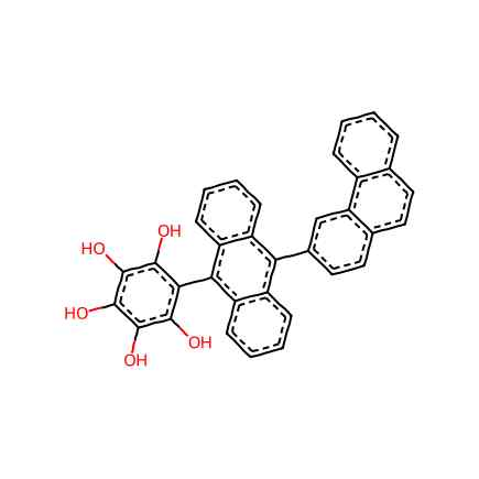 Oc1c(O)c(O)c(-c2c3ccccc3c(-c3ccc4ccc5ccccc5c4c3)c3ccccc23)c(O)c1O